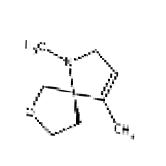 CC1=CCN(C)[C@]12CCOC2